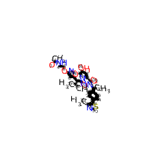 CC(=O)NCCOc1cc([C@H](C(=O)N2C[C@H](O)C[C@H]2C(=O)N[C@@H](C)c2ccc(-c3scnc3C)cc2)C(C)C)on1